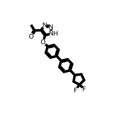 CC(=O)c1nn[nH]c1Oc1ccc(-c2ccc(C3CCC(F)(F)C3)cc2)cc1